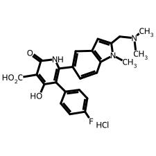 CN(C)Cc1cc2cc(-c3[nH]c(=O)c(C(=O)O)c(O)c3-c3ccc(F)cc3)ccc2n1C.Cl